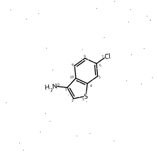 Nc1csc2cc(Cl)ccc12